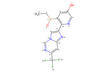 CC[S+]([O-])c1cc(O)cnc1-c1cn2cnc(C(F)(F)F)cc2n1